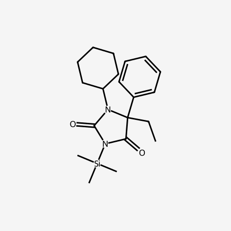 CCC1(c2ccccc2)C(=O)N([Si](C)(C)C)C(=O)N1C1CCCCC1